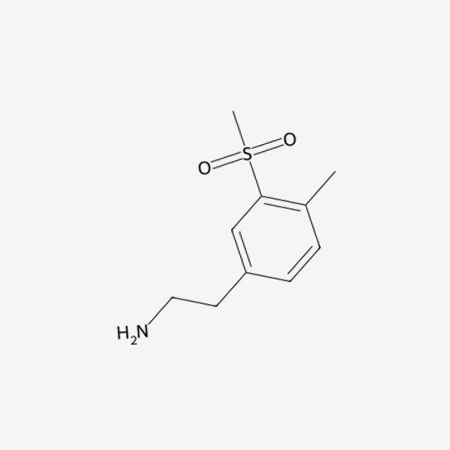 Cc1ccc(CCN)cc1S(C)(=O)=O